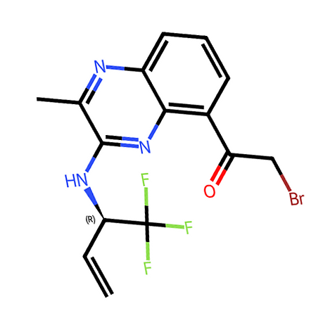 C=C[C@@H](Nc1nc2c(C(=O)CBr)cccc2nc1C)C(F)(F)F